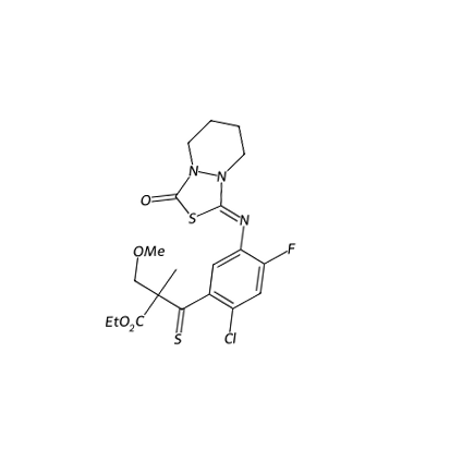 CCOC(=O)C(C)(COC)C(=S)c1cc(N=c2sc(=O)n3n2CCCC3)c(F)cc1Cl